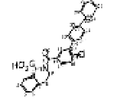 O=C(O)C1c2ccccc2CCN1C(=O)c1ccc(Cl)c(-c2ccc(-c3ccccc3)cc2)c1